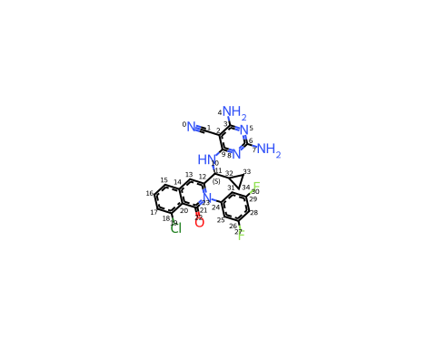 N#Cc1c(N)nc(N)nc1N[C@H](c1cc2cccc(Cl)c2c(=O)n1-c1cc(F)cc(F)c1)C1CC1